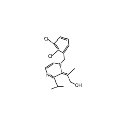 C/C(CO)=C1/C(C(C)C)=NC=CN1Cc1cccc(Cl)c1Cl